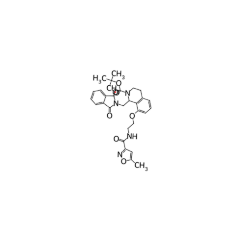 Cc1cc(C(=O)NCCOc2cccc3c2C(CN2C(=O)c4ccccc4C2=O)N(C(=O)OC(C)(C)C)CC3)no1